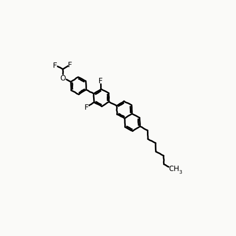 CCCCCCCc1ccc2cc(-c3cc(F)c(-c4ccc(OC(F)F)cc4)c(F)c3)ccc2c1